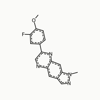 COc1ccc(-c2cnc3cc4cnn(C)c4cc3n2)cc1F